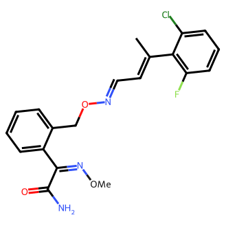 CON=C(C(N)=O)c1ccccc1CON=C/C=C(\C)c1c(F)cccc1Cl